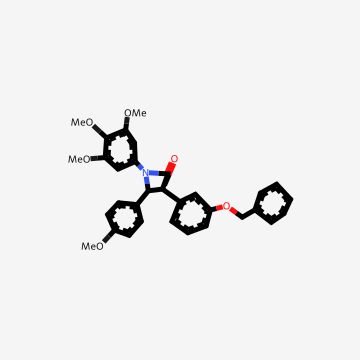 COc1ccc(C2C(c3cccc(OCc4ccccc4)c3)C(=O)N2c2cc(OC)c(OC)c(OC)c2)cc1